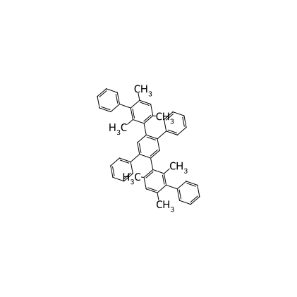 Cc1cc(C)c(-c2cc(-c3ccccc3)c(-c3c(C)cc(C)c(-c4ccccc4)c3C)cc2-c2ccccc2)c(C)c1-c1ccccc1